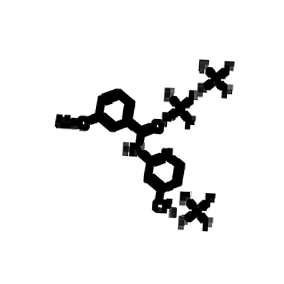 COc1cccc(C(=O)Nc2cc(C(F)(F)F)ccn2)c1.F[B-](F)(F)F.F[B-](F)(F)F.F[B-](F)(F)F